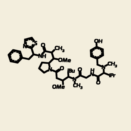 CCC(C)C(C(CC(=O)N1CCCC1C(OC)C(C)C(=O)NC(Cc1ccccc1)c1nccs1)OC)N(C)C(=O)CNC(=O)C(C(C)C)N(C)Cc1ccc(O)cc1